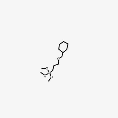 CO[Si](CCCOCC1CCCCC1)(OC)OC